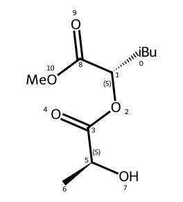 CCC(C)[C@H](OC(=O)[C@H](C)O)C(=O)OC